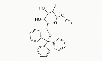 COC1OC(COC(c2ccccc2)(c2ccccc2)c2ccccc2)C(O)C(O)C1I